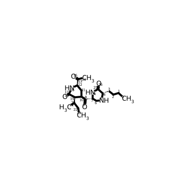 CCCC[C@@H]1NC[C@H](C(=O)C2C[C@H](C(C)=O)NC(=O)[C@@H]2C(C)CC)NC1=O